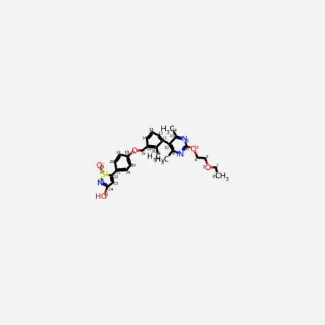 CCOCCOc1nc(C)c(-c2cccc(COc3ccc(-c4cc(O)n[s+]4[O-])cc3)c2C)c(C)n1